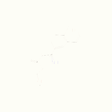 C=C(CCO)CC(=N)/C(C)=C/C(/C=C\S)=C(C)C